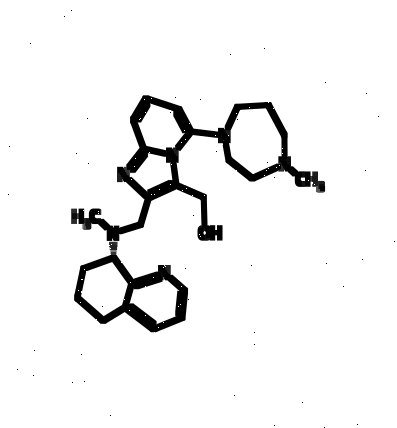 CN1CCCN(c2cccc3nc(CN(C)[C@H]4CCCc5cccnc54)c(CO)n23)CC1